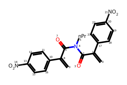 C=C(C(=O)N(CCC)C(=O)C(=C)c1ccc([N+](=O)[O-])cc1)c1ccc([N+](=O)[O-])cc1